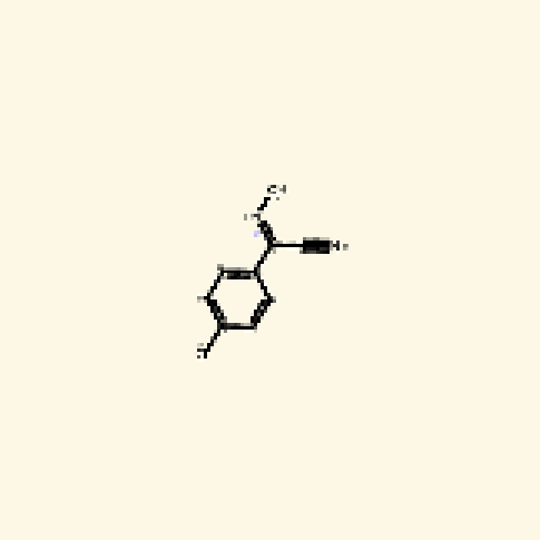 N#C/C(=N\O)c1ccc(Cl)cc1